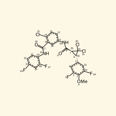 COc1c(F)cc([C@@H]2[C@@H](C(=O)Nc3ccc(Cl)c(C(=O)Nc4ccc(F)cc4F)c3)C2(Cl)Cl)cc1F